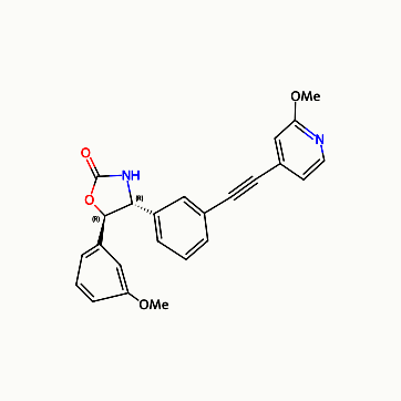 COc1cccc([C@H]2OC(=O)N[C@@H]2c2cccc(C#Cc3ccnc(OC)c3)c2)c1